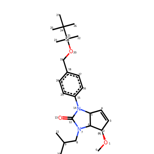 CO[C@@H]1C=CC2C1N(CC(C)C)C(=O)N2c1ccc(CO[Si](C)(C)C(C)(C)C)cc1